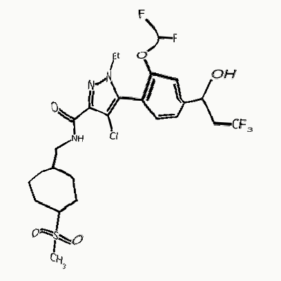 CCn1nc(C(=O)NCC2CCC(S(C)(=O)=O)CC2)c(Cl)c1-c1ccc(C(O)CC(F)(F)F)cc1OC(F)F